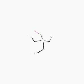 CC[Si](CC)(CC)CI